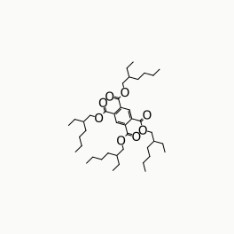 CCCCC(CC)COC(=O)c1cc(C(=O)OCC(CC)CCCC)c(C(=O)OCC(CC)CCCC)cc1C(=O)OCC(CC)CCCC